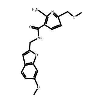 COCc1ccc(C(=O)NCc2cc3ccc(OC)cc3o2)c(N)n1